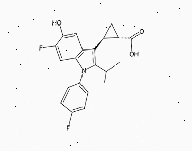 CC(C)c1c([C@H]2C[C@@H]2C(=O)O)c2cc(O)c(F)cc2n1-c1ccc(F)cc1